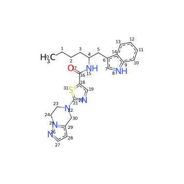 CCCCC(Cc1c[nH]c2ccccc12)NC(=O)c1cnc(N2CCn3nccc3C2)s1